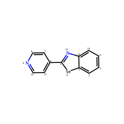 c1ccc2[se]c(-c3ccncc3)nc2c1